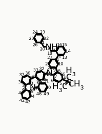 CC(C)(C)C1C=Cc2c(c3cc(-c4ccccc4CNCc4ccccc4)ccc3n2-c2ccc(-c3cccc4c5ccccc5n(-c5ccccc5)c34)cc2)C1